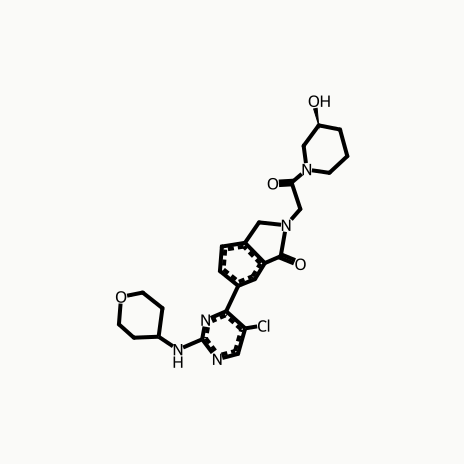 O=C(CN1Cc2ccc(-c3nc(NC4CCOCC4)ncc3Cl)cc2C1=O)N1CCC[C@H](O)C1